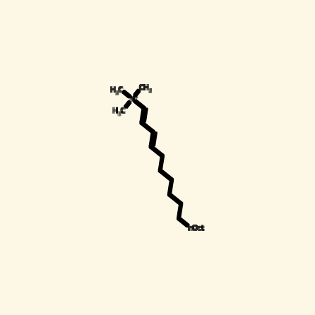 CCCCCCCCCCCCCC/C=C/C=C/[N+](C)(C)C